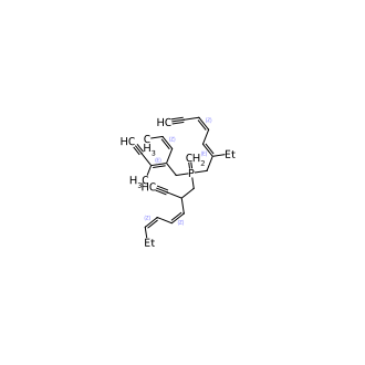 C#C/C=C\C=C(/CC)CP(=C)(CC(/C=C\C)=C(\C)C#C)CC(C#C)/C=C\C=C/CC